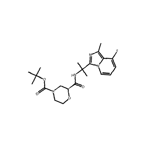 Cc1nc(C(C)(C)NC(=O)[C@@H]2CN(C(=O)OC(C)(C)C)CCO2)n2cccc(F)c12